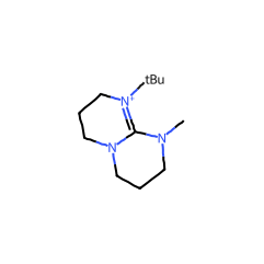 CN1CCCN2CCC[N+](C(C)(C)C)=C12